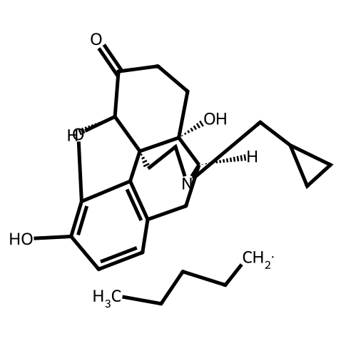 O=C1CC[C@@]2(O)[C@H]3Cc4ccc(O)c5c4[C@@]2(CCN3CC2CC2)[C@H]1O5.[CH2]CCCC